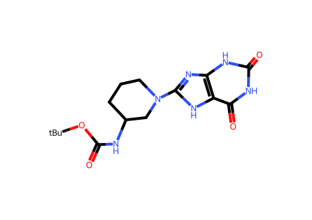 CC(C)(C)OC(=O)NC1CCCN(c2nc3[nH]c(=O)[nH]c(=O)c3[nH]2)C1